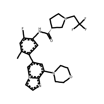 Cc1cc(F)c(NC(=O)[C@@H]2CCN(CC(F)(F)F)C2)cc1-c1cc(N2CCOCC2)c2nccn2c1